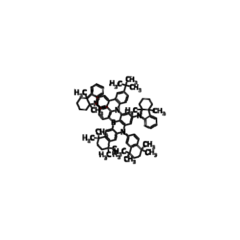 CC(C)(C)c1ccc(N2c3cc(N4c5ccccc5C5(C)CCCCC45C)ccc3B3c4cc5c(cc4N(c4ccc6c(c4)C(C)(C)CCC6(C)C)c4cc(N6c7ccccc7C7(C)CCCCC67C)cc2c43)C(C)(C)CCC5(C)C)c(-c2ccccc2)c1